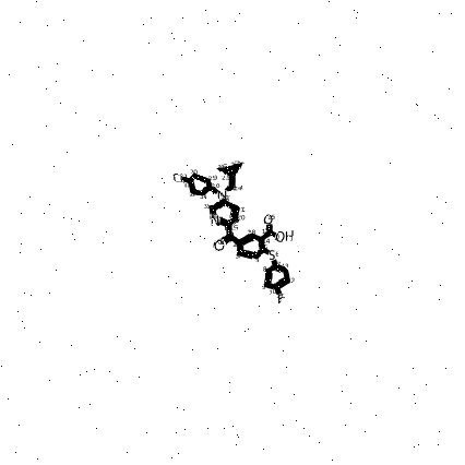 O=C(c1ccc(Sc2ccc(F)cc2)c(C(=O)O)c1)c1ccc(N(CC2CC2)c2ccc(Cl)cc2)cn1